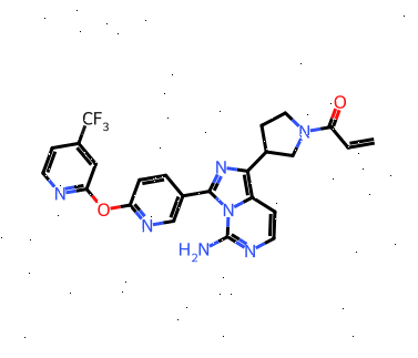 C=CC(=O)N1CCC(c2nc(-c3ccc(Oc4cc(C(F)(F)F)ccn4)nc3)n3c(N)nccc23)C1